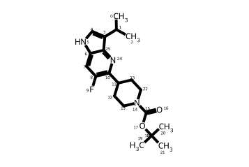 CC(C)c1c[nH]c2cc(F)c(C3CCN(C(=O)OC(C)(C)C)CC3)nc12